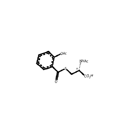 CC(=O)N[C@@H](CSC(=O)c1ccccc1OC(C)=O)C(=O)O